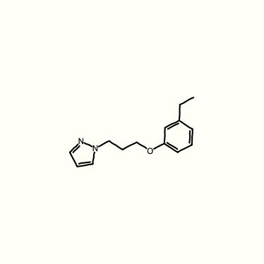 CCc1cccc(OCCCn2cccn2)c1